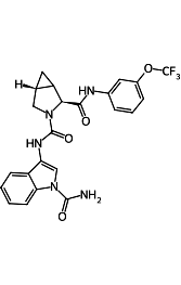 NC(=O)n1cc(NC(=O)N2C[C@@H]3CC3[C@H]2C(=O)Nc2cccc(OC(F)(F)F)c2)c2ccccc21